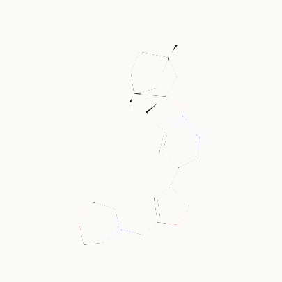 C1=C(c2coc(CN3CCOCC3)c2)C=C2C[C@@]3(C[C@H]4CC[C@@H]3CC4)ON2N1